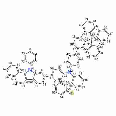 c1ccc(-n2c3cc(-c4ccc(N(c5ccc(-c6ccc7c(c6)C6(c8ccccc8-c8ccccc86)c6ccccc6-7)cc5)c5cccc6sc7ccccc7c56)cc4)ccc3c3ccc4ccccc4c32)cc1